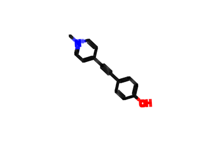 C[n+]1ccc(C#Cc2ccc(O)cc2)cc1